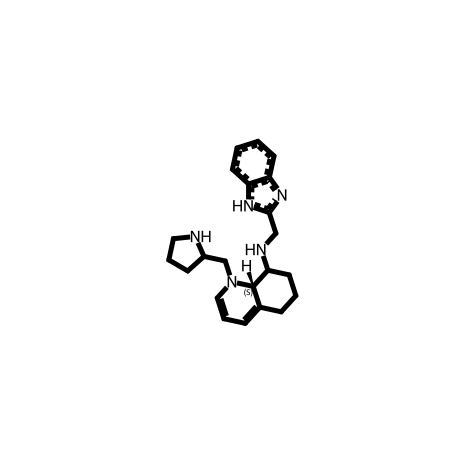 C1=CN(CC2CCCN2)[C@H]2C(=C1)CCCC2NCc1nc2ccccc2[nH]1